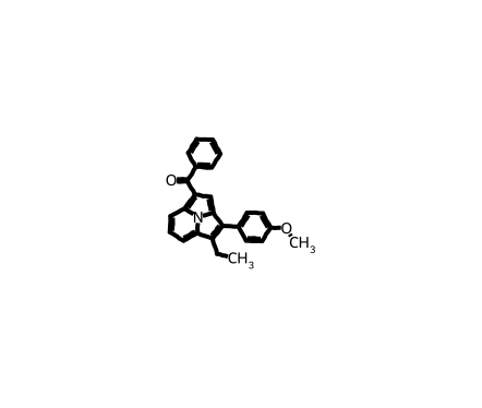 CCc1c(-c2ccc(OC)cc2)c2cc(C(=O)c3ccccc3)c3cccc1n32